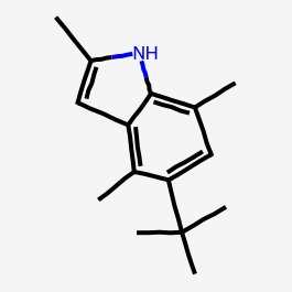 Cc1cc2c(C)c(C(C)(C)C)cc(C)c2[nH]1